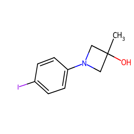 CC1(O)CN(c2ccc(I)cc2)C1